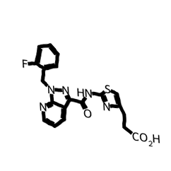 O=C(O)CCc1csc(NC(=O)c2nn(Cc3ccccc3F)c3ncccc23)n1